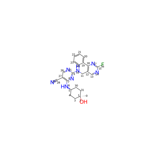 C[C@]1(O)CC[C@@H](Nc2nc(NCc3cnc(F)nc3-c3ccccc3)ncc2C#N)CC1